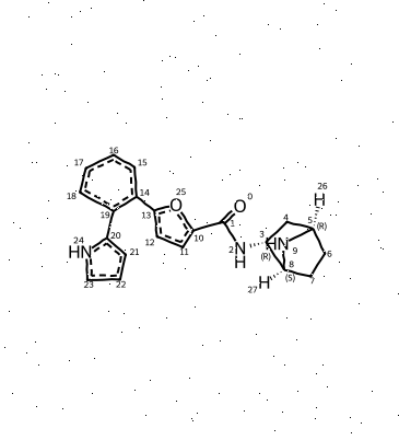 O=C(N[C@@H]1C[C@H]2CC[C@@H]1N2)c1ccc(-c2ccccc2-c2ccc[nH]2)o1